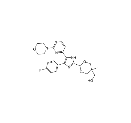 CC1(CO)COC(c2nc(-c3ccc(F)cc3)c(-c3ccnc(N4CCOCC4)n3)[nH]2)OC1